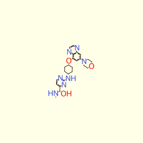 CNC(O)c1ccnc(N[C@H]2CC[C@@H](Oc3cc(N4CCOCC4)cc4nccnc34)CC2)n1